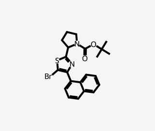 CC(C)(C)OC(=O)N1CCCC1c1nc(-c2cccc3ccccc23)c(Br)s1